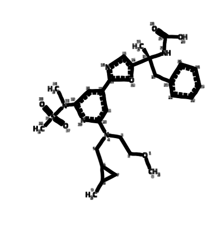 COCCN(CC1CC1C)c1cc(-c2ncc([C@@](C)(Cc3ccccc3)NC(=O)O)o2)cc(N(C)S(C)(=O)=O)n1